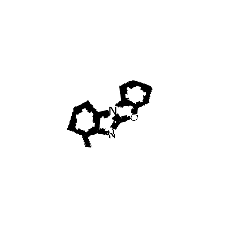 Cc1cccc2c1nc1oc3ccccc3n12